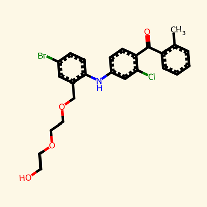 Cc1ccccc1C(=O)c1ccc(Nc2ccc(Br)cc2COCCOCCO)cc1Cl